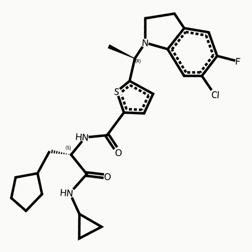 C[C@H](c1ccc(C(=O)N[C@@H](CC2CCCC2)C(=O)NC2CC2)s1)N1CCc2cc(F)c(Cl)cc21